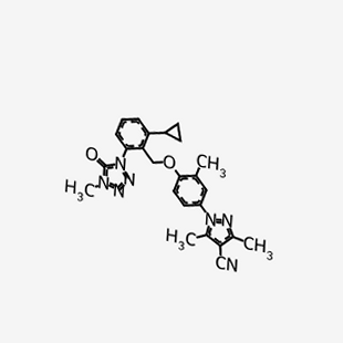 Cc1cc(-n2nc(C)c(C#N)c2C)ccc1OCc1c(C2CC2)cccc1-n1nnn(C)c1=O